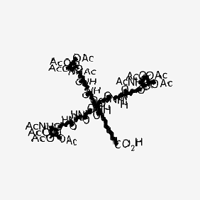 CC(=O)NC1C(OC(C)=O)[C@H](OC(C)=O)C(COC(C)=O)O[C@H]1OCCCCC(=O)NCCCNC(=O)CCOCC(COCCC(=O)NCCCNC(=O)CCCCO[C@@H]1OC(COC(C)=O)[C@@H](OC(C)=O)C(OC(C)=O)C1NC(C)=O)(COCCC(=O)NCCCNC(=O)CCCCO[C@@H]1OC(COC(C)=O)[C@@H](OC(C)=O)C(OC(C)=O)C1NC(C)=O)NC(=O)CCCCCCCCCCC(=O)O